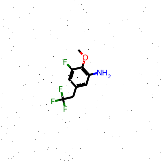 COc1c(N)cc(CC(F)(F)F)cc1F